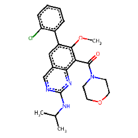 COc1c(-c2ccccc2Cl)cc2cnc(NC(C)C)nc2c1C(=O)N1CCOCC1